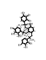 CCc1ccc(C(C)(C)Cc2ccc(O)c(CC(C)(C)c3ccc(CC)c(CC)c3CC)c2CC(C)(C)c2ccc(CC)c(CC)c2CC)c(CC)c1CC